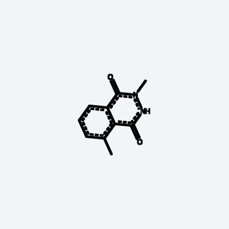 Cc1cccc2c(=O)n(C)[nH]c(=O)c12